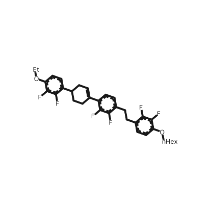 CCCCCCOc1ccc(CCc2ccc(C3=CCC(c4ccc(OCC)c(F)c4F)CC3)c(F)c2F)c(F)c1F